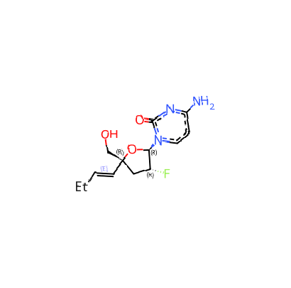 CC/C=C/[C@@]1(CO)C[C@@H](F)[C@H](n2ccc(N)nc2=O)O1